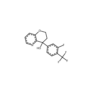 OC1(c2ccc(C(F)(F)F)c(F)c2)CCOc2cccnc21